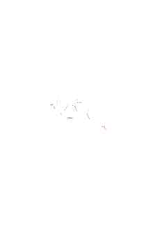 O=[C]CC=Cc1ccc(OC(F)(F)F)cc1Cl